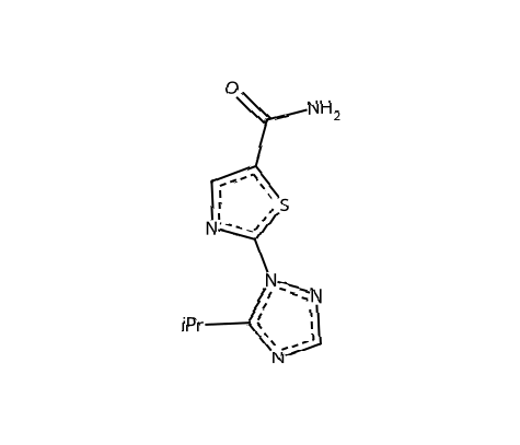 CC(C)c1ncnn1-c1ncc(C(N)=O)s1